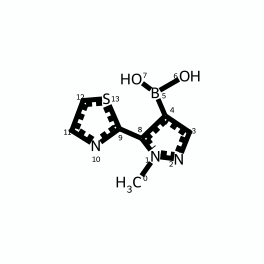 Cn1ncc(B(O)O)c1-c1nccs1